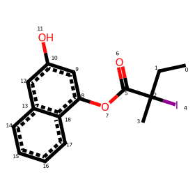 CCC(C)(I)C(=O)Oc1cc(O)cc2ccccc12